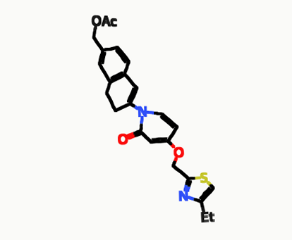 CCc1csc(COc2ccn(C3=Cc4ccc(COC(C)=O)cc4CC3)c(=O)c2)n1